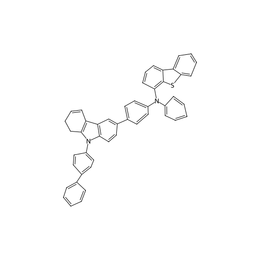 C1=Cc2c(n(-c3ccc(-c4ccccc4)cc3)c3ccc(-c4ccc(N(c5ccccc5)c5cccc6c5sc5ccccc56)cc4)cc23)CC1